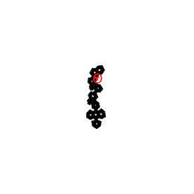 CC1(C)c2ccc(-c3cccc4c3C(C)(C)c3ccc5c(oc6c7ccccc7ccc56)c3-4)cc2-c2ccc(-c3c4ccccc4c(-c4ccccc4)c4ccccc34)cc21